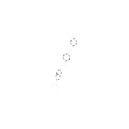 OC(Nc1ccc(OCc2ccccc2)cc1)c1cc2sc(N3CCCCC3)nc2s1